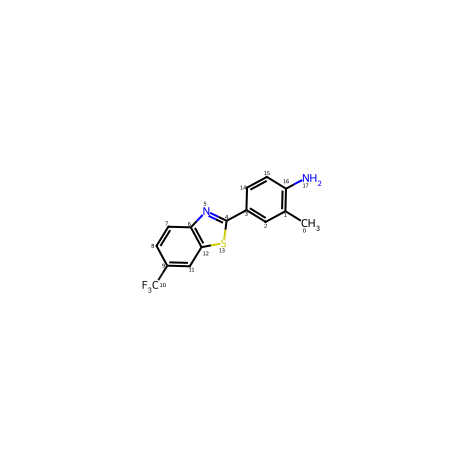 Cc1cc(-c2nc3ccc(C(F)(F)F)cc3s2)ccc1N